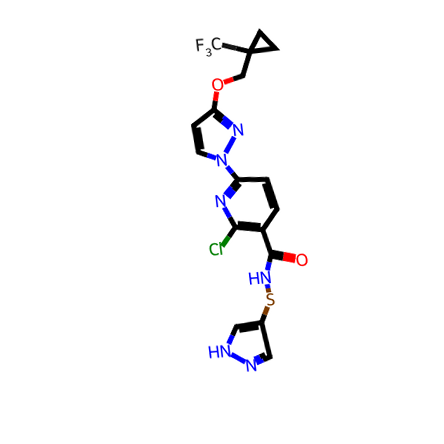 O=C(NSc1cn[nH]c1)c1ccc(-n2ccc(OCC3(C(F)(F)F)CC3)n2)nc1Cl